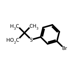 CC(C)(Sc1cccc(Br)c1)C(=O)O